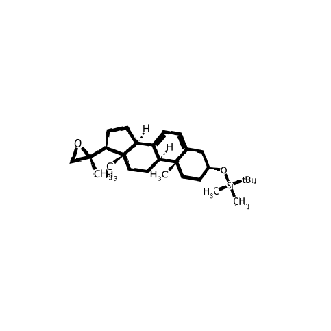 CC(C)(C)[Si](C)(C)O[C@H]1CC[C@@]2(C)C(=CC=C3[C@@H]4CC[C@H]([C@]5(C)CO5)[C@@]4(C)CC[C@@H]32)C1